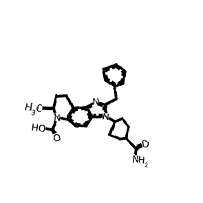 CC1CCc2c(ccc3c2nc(Cc2ccccc2)n3C2CCC(C(N)=O)CC2)N1C(=O)O